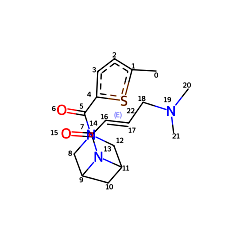 Cc1ccc(C(=O)N2CC3CC(C2)N3C(=O)/C=C/CN(C)C)s1